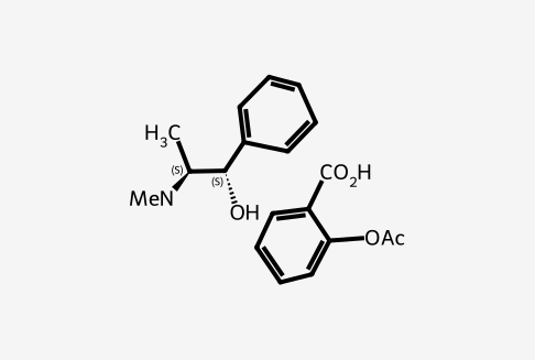 CC(=O)Oc1ccccc1C(=O)O.CN[C@@H](C)[C@@H](O)c1ccccc1